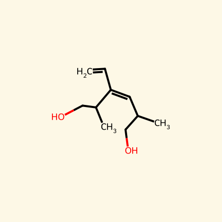 C=CC(=CC(C)CO)C(C)CO